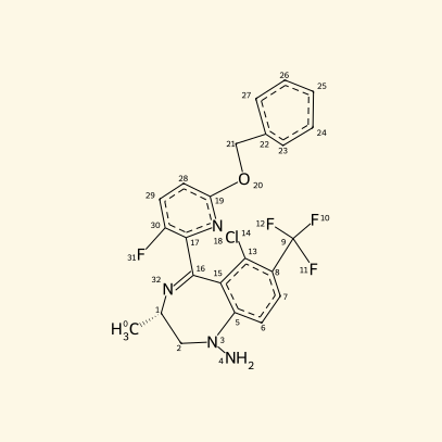 C[C@H]1CN(N)c2ccc(C(F)(F)F)c(Cl)c2C(c2nc(OCc3ccccc3)ccc2F)=N1